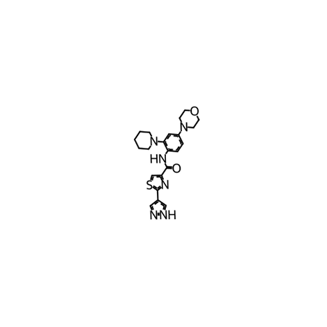 O=C(Nc1ccc(N2CCOCC2)cc1N1CCCCC1)c1csc(-c2cn[nH]c2)n1